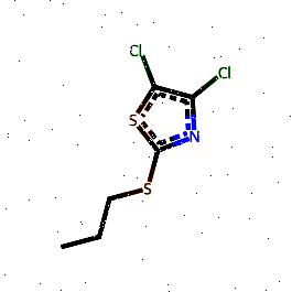 CCCSc1nc(Cl)c(Cl)s1